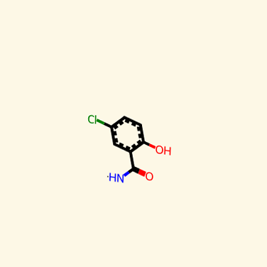 [NH]C(=O)c1cc(Cl)ccc1O